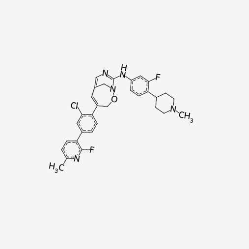 Cc1ccc(-c2ccc(C3=CC4=CN=C(Nc5ccc(C6CCN(C)CC6)c(F)c5)N(C4)OC3)c(Cl)c2)c(F)n1